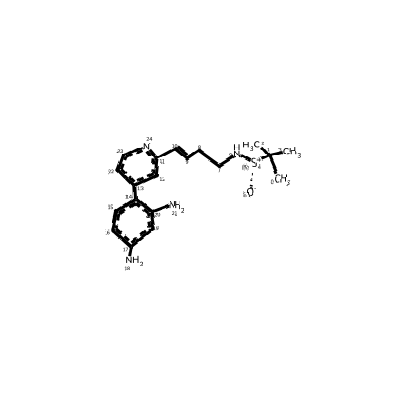 CC(C)(C)[S@+]([O-])NCCC=Cc1cc(-c2ccc(N)cc2N)ccn1